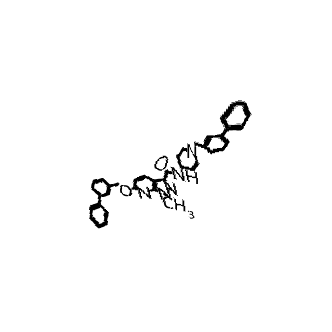 Cn1nc(C(=O)NC2CCN(Cc3cccc(-c4ccccc4)c3)CC2)c2ccc(OCc3cccc(-c4ccccc4)c3)nc21